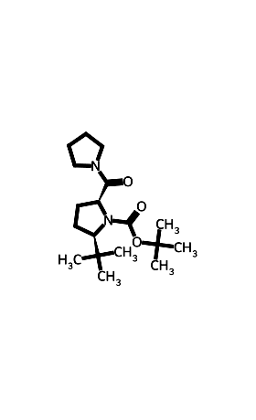 CC(C)(C)OC(=O)N1[C@H](C(=O)N2CCCC2)CC[C@@H]1C(C)(C)C